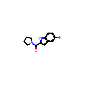 O=C(c1cc2cc(F)ccc2[nH]1)N1CCCC1